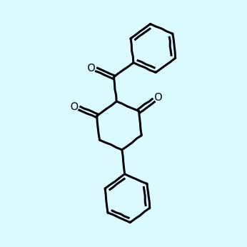 O=C1CC(c2ccccc2)CC(=O)C1C(=O)c1ccccc1